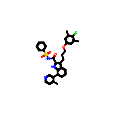 Cc1ccncc1-c1cccc2c(CCCOc3cc(C)c(Cl)c(C)c3)c(C(=O)NS(=O)(=O)c3ccccc3)[nH]c12